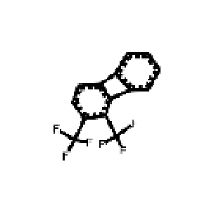 FC(F)(F)c1ccc2c(c1C(F)(F)F)-c1ccccc1-2